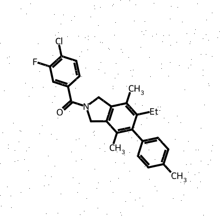 CCc1c(C)c2c(c(C)c1-c1ccc(C)cc1)CN(C(=O)c1ccc(Cl)c(F)c1)C2